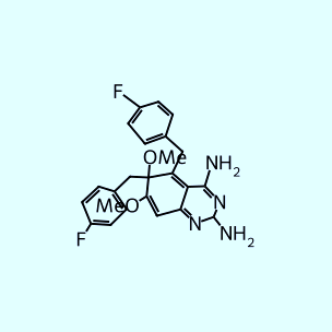 COC1=CC2=NC(N)N=C(N)C2=C(Cc2ccc(F)cc2)C1(Cc1ccc(F)cc1)OC